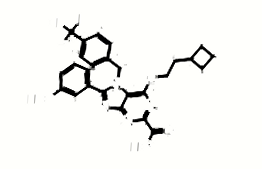 Cc1cccc(-c2nc3nc(C(=O)O)nc(OCCC4CCC4)c3n2Cc2ccc(C(F)(F)F)cc2)c1